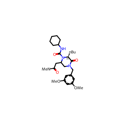 CCCC[C@H]1C(=O)N(Cc2cc(OC)cc(OC)c2)CC(CC(=O)NC)N1C(=O)NC1CCCCC1